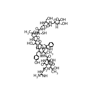 CC(C)C[C@H](NC(=O)[C@H](CO)NC(=O)[C@H](Cc1c[nH]c2ccccc12)NC(=O)[C@H](Cc1ccc(O)cc1)NC(=O)[C@H](C)NC(=O)[C@@H](NC(=O)[C@H](CCCNC(=N)N)NC(=O)[C@@H](N)[C@@H](C)O)[C@@H](C)O)C(=O)N[C@@H](CS)C(=O)NCC(=O)N[C@@H](CO)C(=O)NCC(=O)N[C@@H](CO)C(=O)O